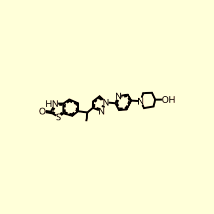 CC(c1ccc2[nH]c(=O)sc2c1)c1ccn(-c2ccc(N3CCC(O)CC3)cn2)n1